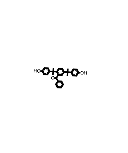 CC(C)(c1ccc(O)cc1)c1ccc(C(C)(C)c2ccc(O)cc2)c(C(=O)c2ccccc2)c1